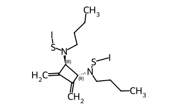 C=C1C(=C)[C@@H](N(CCCC)SI)[C@@H]1N(CCCC)SI